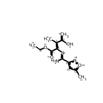 C=C(O)/C(C)=C(\N=C(/N)c1cc(C)on1)C(=O)OCC